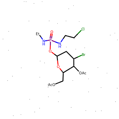 CCNP(=O)(NCCCl)OC1CC(Br)C(OC(C)=O)C(COC(C)=O)O1